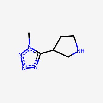 Cn1nnnc1C1CCNC1